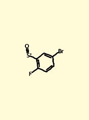 O=[S+]c1cc(Br)ccc1F